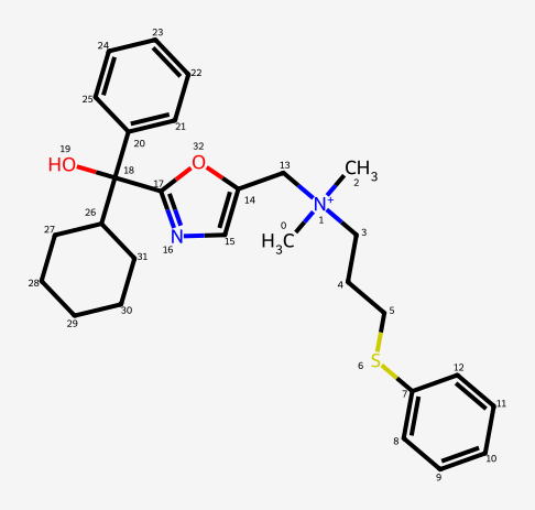 C[N+](C)(CCCSc1ccccc1)Cc1cnc(C(O)(c2ccccc2)C2CCCCC2)o1